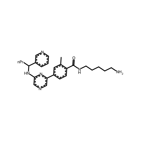 CCCC(Nc1cncc(-c2ccc(C(=O)NCCCCCN)c(C)c2)n1)c1cccnc1